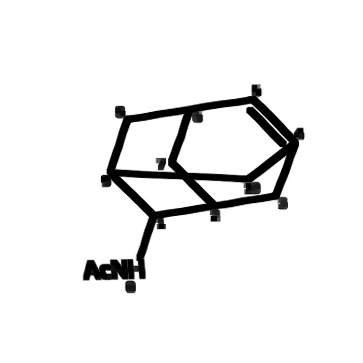 CC(=O)NC1C2CC3=CC(C2)CC1C3